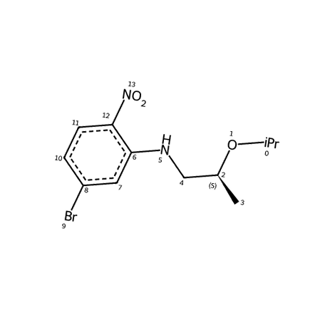 CC(C)O[C@@H](C)CNc1cc(Br)ccc1[N+](=O)[O-]